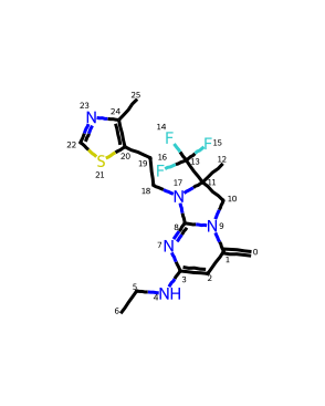 C=C1C=C(NCC)N=C2N1CC(C)(C(F)(F)F)N2CCc1scnc1C